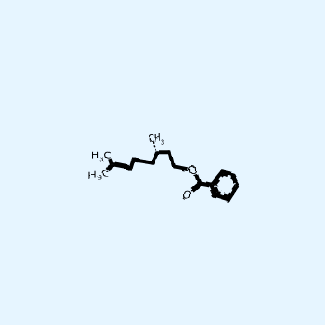 CC(C)=CCC[C@H](C)CCOC(=O)c1ccccc1